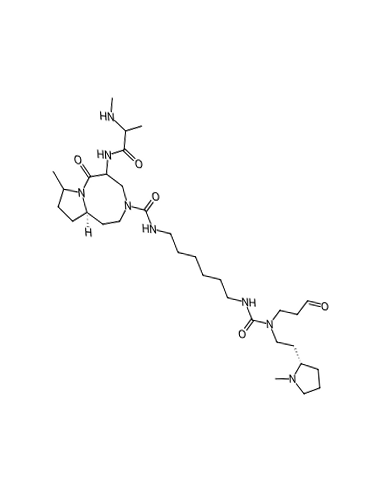 CNC(C)C(=O)NC1CN(C(=O)NCCCCCCNC(=O)N(CCC=O)CC[C@@H]2CCCN2C)CC[C@H]2CCC(C)N2C1=O